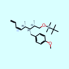 C=C/C=C\[C@H](C)[C@@H](Cc1ccc(OC)cc1)[C@H](C)CO[Si](C)(C)C(C)(C)C